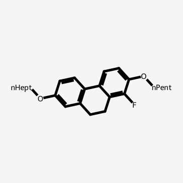 CCCCCCCOc1ccc2c(c1)CCc1c-2ccc(OCCCCC)c1F